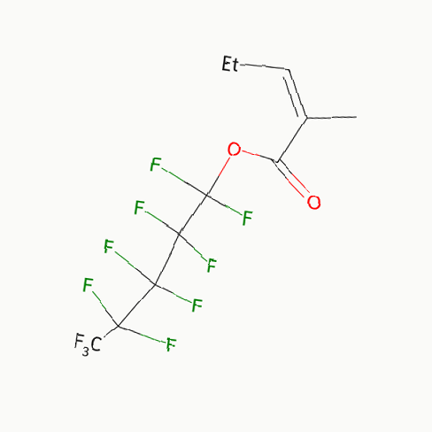 CCC=C(C)C(=O)OC(F)(F)C(F)(F)C(F)(F)C(F)(F)C(F)(F)F